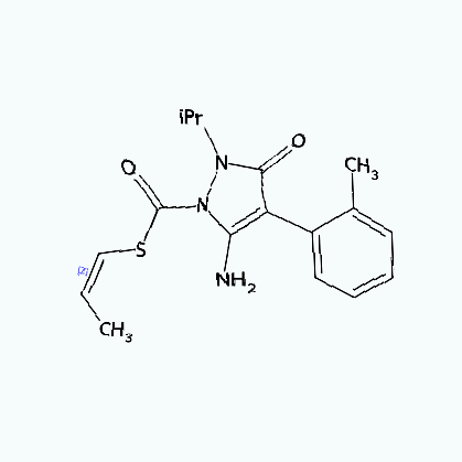 C/C=C\SC(=O)n1c(N)c(-c2ccccc2C)c(=O)n1C(C)C